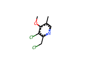 COc1c(C)cnc(CCl)c1Cl